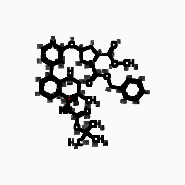 COC(=O)[C@@H]1C[C@H](Oc2nccc(-c3cccc([N+](=O)[O-])c3NCC(C)CNC(=O)OC(C)(C)C)n2)CN1C(=O)OCc1ccccc1